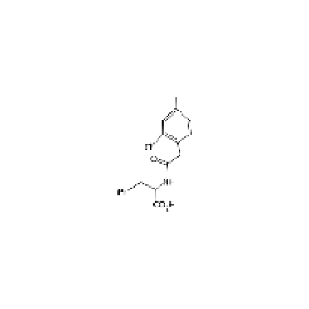 Cc1ccc(CC(=O)NC(CC(C)C)C(=O)O)c(Cl)c1